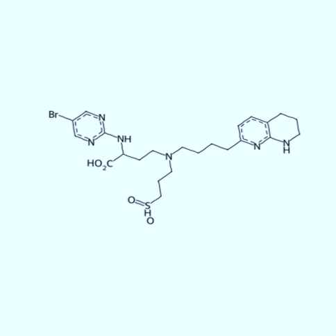 O=C(O)C(CCN(CCCCc1ccc2c(n1)NCCC2)CCC[SH](=O)=O)Nc1ncc(Br)cn1